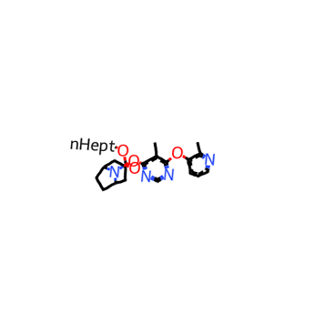 CCCCCCCOC(=O)N1C2CCC1CC(Oc1ncnc(Oc3cccnc3C)c1C)C2